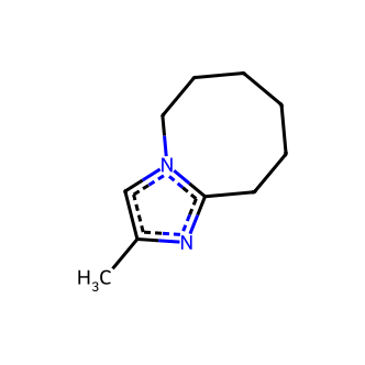 Cc1cn2c(n1)CCCCCC2